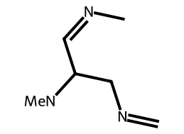 C=NCC(/C=N\C)NC